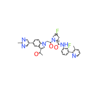 CC(=O)c1cn(CC(=O)N2C[C@H](F)C[C@H]2C(=O)Nc2cccc(-c3ncccc3C)c2F)c2ccc(-c3cnc(C)nc3)cc12